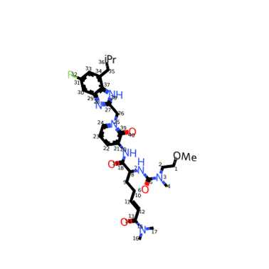 COCCN(C)C(=O)NC(CC/C=C/C(=O)N(C)C)C(=O)Nc1cccn(Cc2nc3cc(F)cc(CC(C)C)c3[nH]2)c1=O